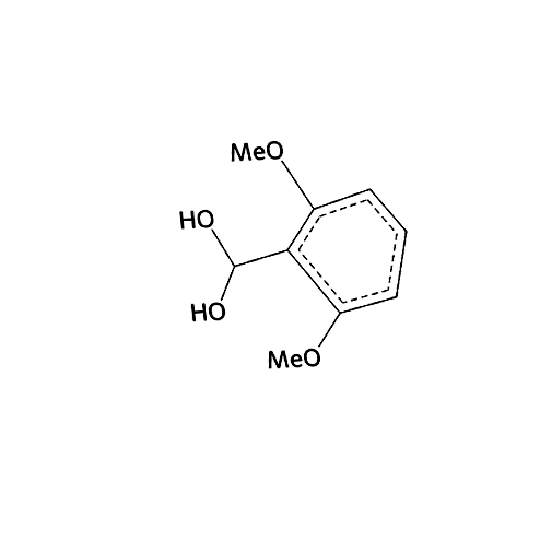 COc1cccc(OC)c1C(O)O